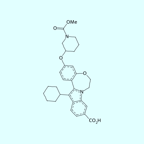 COC(=O)N1CCCC(Oc2ccc3c(c2)OCCn2c-3c(C3CCCCC3)c3ccc(C(=O)O)cc32)C1